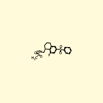 CS(=O)(=O)NCC1CCCc2cc(S(=O)(=O)c3ccccc3)cc(F)c21